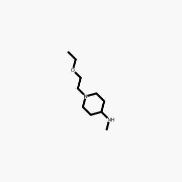 CCOCCN1CCC(NC)CC1